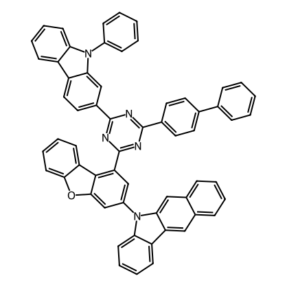 c1ccc(-c2ccc(-c3nc(-c4ccc5c6ccccc6n(-c6ccccc6)c5c4)nc(-c4cc(-n5c6ccccc6c6cc7ccccc7cc65)cc5oc6ccccc6c45)n3)cc2)cc1